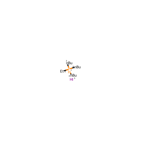 CCCC[PH](CC)(CCCC)CCCC.I